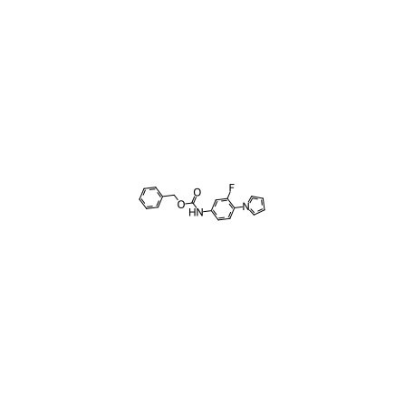 O=C(Nc1ccc(-n2cccc2)c(F)c1)OCc1ccccc1